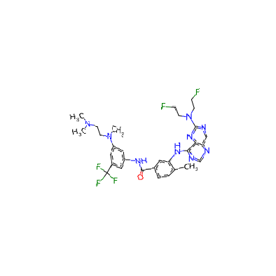 Cc1ccc(C(=O)Nc2cc(N(C)CCN(C)C)cc(C(F)(F)F)c2)cc1Nc1ncnc2cnc(N(CCF)CCF)nc12